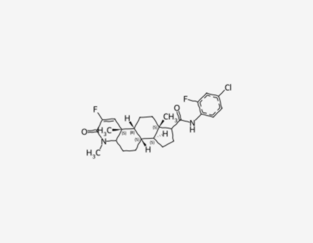 CN1C(=O)C(F)=C[C@@]2(C)C1CC[C@@H]1[C@H]2CC[C@]2(C)C(C(=O)Nc3ccc(Cl)cc3F)CC[C@@H]12